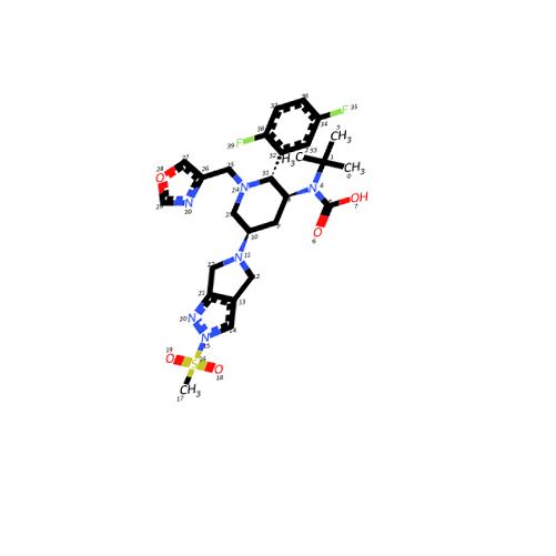 CC(C)(C)N(C(=O)O)[C@H]1C[C@@H](N2Cc3cn(S(C)(=O)=O)nc3C2)CN(Cc2cocn2)[C@@H]1c1cc(F)ccc1F